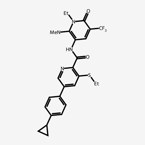 CCSc1cc(-c2ccc(C3CC3)cc2)cnc1C(=O)Nc1cc(C(F)(F)F)c(=O)n(CC)c1NC